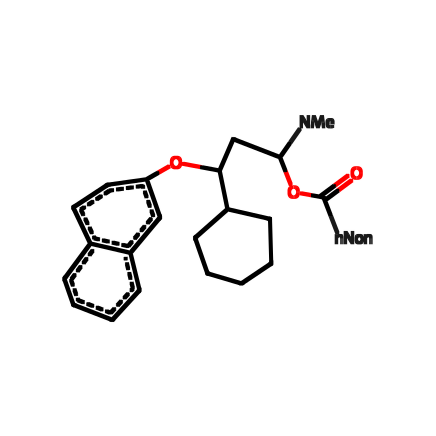 CCCCCCCCCC(=O)OC(CC(Oc1ccc2ccccc2c1)C1CCCCC1)NC